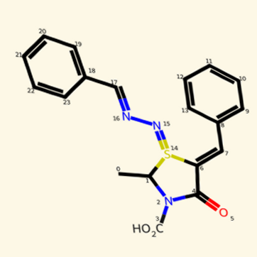 CC1N(C(=O)O)C(=O)C(=Cc2ccccc2)S1=NN=Cc1ccccc1